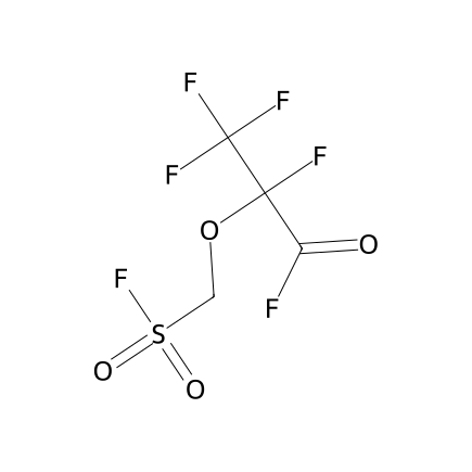 O=C(F)C(F)(OCS(=O)(=O)F)C(F)(F)F